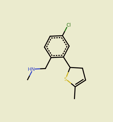 CNCc1ccc(Cl)cc1C1CC=C(C)S1